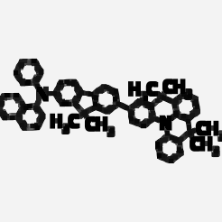 CC1(C)c2cc(-c3ccc4c(c3)C(C)(C)c3cccc5c3N4c3ccccc3C5(C)C)ccc2-c2ccc(N(c3ccccc3)c3cccc4ccccc34)cc21